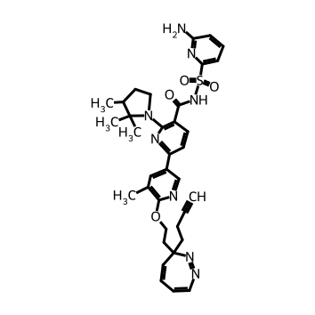 C#CCCC1(CCOc2ncc(-c3ccc(C(=O)NS(=O)(=O)c4cccc(N)n4)c(N4CCC(C)C4(C)C)n3)cc2C)C=CC=CN=N1